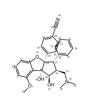 COc1cncc2c1[C@]1(O)[C@H](O)[C@H](CN(C)C)[C@@H](c3ccccc3)[C@]1(c1ccc(C#N)cc1)O2